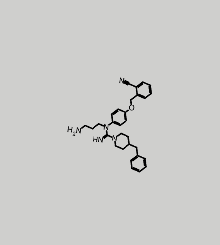 N#Cc1ccccc1COc1ccc(N(CCCN)C(=N)N2CCC(Cc3ccccc3)CC2)cc1